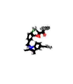 COC(=O)C(Oc1cc(Cn2c(C)c(C)c3cc(C(=O)O)ccc32)ccc1Cl)C(C)C